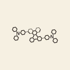 C1=Cc2c(c3c(c4c5ccccc5c5ccc(-c6ccc(N(c7ccccc7)c7ccccc7)cc6)cc5c24)C=C(c2ccc(N(c4ccccc4)c4ccccc4)cc2)CC3)CC1